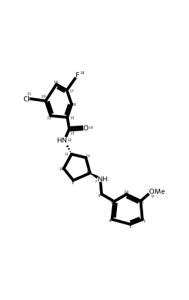 COc1cccc(CN[C@H]2CC[C@H](NC(=O)c3cc(F)cc(Cl)c3)C2)c1